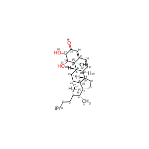 CC(C)CCC[C@@H](C)[C@H]1CC[C@H]2[C@@H]3C=CC4=CC(=O)C(O)C(O)[C@]4(C)[C@H]3CC[C@]12C